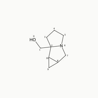 OCC12CCCN1CC1CC12